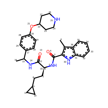 Cc1c(C(=O)N[C@@H](CCC2CC2)C(=O)NC(C)c2ccc(OC3CCNCC3)cc2)[nH]c2ccccc12